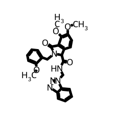 COc1ccccc1CN1C(=O)c2c(ccc(OC)c2OC)C1C(=O)NCn1nnc2ccccc21